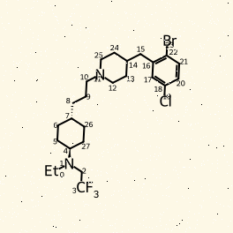 CCN(CC(F)(F)F)[C@H]1CC[C@H](CCCN2CCC(Cc3cc(Cl)ccc3Br)CC2)CC1